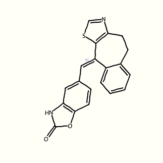 O=c1[nH]c2cc(/C=C3\c4ccccc4CCc4ncsc43)ccc2o1